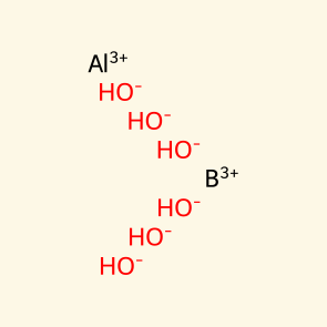 [Al+3].[B+3].[OH-].[OH-].[OH-].[OH-].[OH-].[OH-]